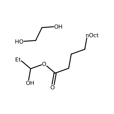 CCCCCCCCCCCC(=O)OC(O)CC.OCCO